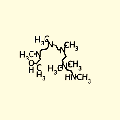 CNCC[N+](C)(C)CCN(C)CCN(C)CCN(C)CC(C)O